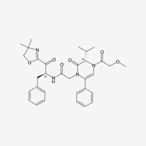 COCC(=O)N1C=C(c2ccccc2)N(CC(=O)N[C@@H](Cc2ccccc2)C(=O)C2=NC(C)(C)CO2)C(=O)[C@@H]1C(C)C